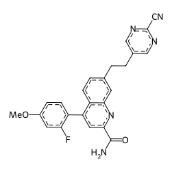 COc1ccc(-c2cc(C(N)=O)nc3cc(CCc4cnc(C#N)nc4)ccc23)c(F)c1